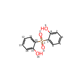 O=S(=O)(c1ccccc1O)c1ccccc1O